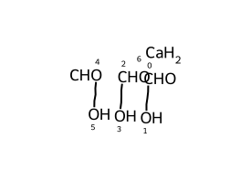 O=CO.O=CO.O=CO.[CaH2]